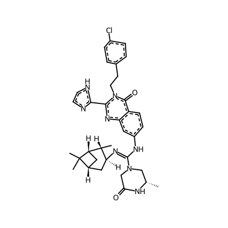 C[C@@H]1[C@@H](N=C(Nc2ccc3c(=O)n(CCc4ccc(Cl)cc4)c(-c4ncc[nH]4)nc3c2)N2CC(=O)N[C@@H](C)C2)C[C@H]2C[C@@H]1C2(C)C